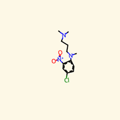 CN(C)CCCN(C)c1ccc(Cl)cc1[N+](=O)[O-]